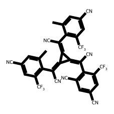 Cc1cc(C#N)cc(C(F)(F)F)c1C(C#N)=C1C(=C(/C#N)c2c(C)cc(C#N)cc2C(F)(F)F)/C1=C(/C#N)c1c(C#N)cc(C#N)cc1C(F)(F)F